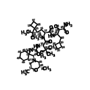 C[C@@H]1CN(CC2(NC(=O)N[C@H](C(=O)N3C[C@]4(C[C@H]3C(=O)NC(CC3CCC3)C(=O)C(N)=O)C(C)(C)C43CCC3)C(C)(C)C)CCCCC2)C[C@H](C)O1